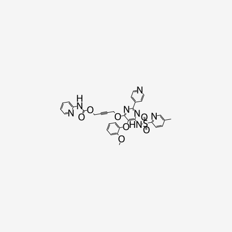 COc1ccccc1Oc1c(NS(=O)(=O)c2ccc(C)cn2)nc(-c2ccncc2)nc1OCC#CCOC(=O)Nc1ccccn1